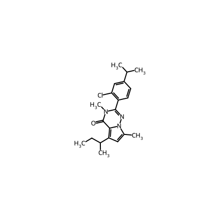 CCC(C)c1cc(C)n2nc(-c3ccc(C(C)C)cc3Cl)n(C)c(=O)c12